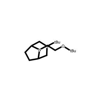 CC(C)(C)OCCN1C2CCC1CN(C(C)(C)C)C2